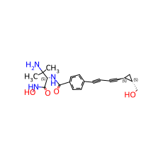 CC(C)(N)[C@H](NC(=O)c1ccc(C#CC#C[C@H]2C[C@@H]2CO)cc1)C(=O)NO